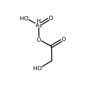 O=C(CO)O[AsH](=O)O